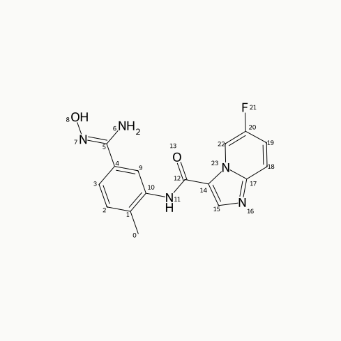 Cc1ccc(/C(N)=N/O)cc1NC(=O)c1cnc2ccc(F)cn12